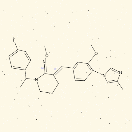 CO/N=C1\C(=C\c2ccc(-n3cnc(C)c3)c(OC)c2)CCCN1C(C)c1ccc(F)cc1